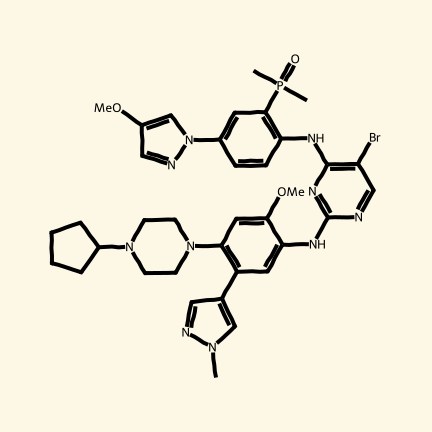 COc1cnn(-c2ccc(Nc3nc(Nc4cc(-c5cnn(C)c5)c(N5CCN(C6CCCC6)CC5)cc4OC)ncc3Br)c(P(C)(C)=O)c2)c1